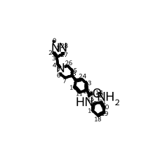 Cn1cc(CN2CCC(c3ccc(C(=O)Nc4ccccc4N)cc3)CC2)cn1